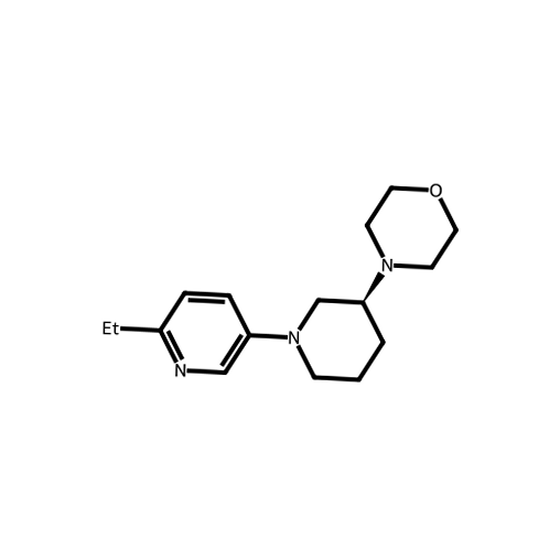 CCc1ccc(N2CCC[C@H](N3CCOCC3)C2)cn1